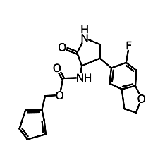 O=C(NC1C(=O)NCC1c1cc2c(cc1F)OCC2)OCc1ccccc1